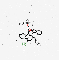 CC=c1ccc2c(c1C1C(OCO[Si](C)(C)C)=Cc3ccccc31)[C]([Zr+2])=c1ccccc1=2.[Cl-].[Cl-]